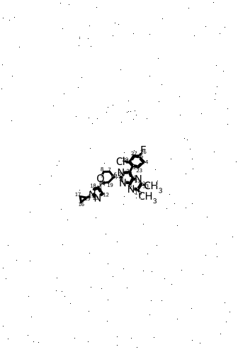 Cc1nc2nc([C@H]3CCO[C@@H](c4cnn(C5CC5)c4)C3)nc(-c3ccc(F)cc3Cl)c2nc1C